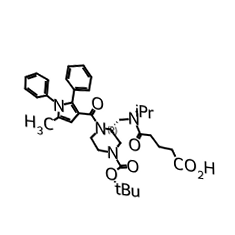 Cc1cc(C(=O)N2CCN(C(=O)OC(C)(C)C)C[C@H]2CN(C(=O)CCCC(=O)O)C(C)C)c(-c2ccccc2)n1-c1ccccc1